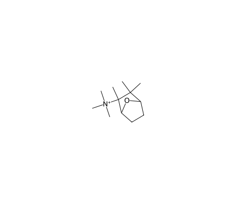 CC1(C)C2CCC(O2)C1(C)[N+](C)(C)C